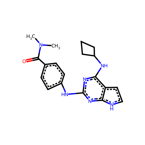 CN(C)C(=O)c1ccc(Nc2nc(NC3CCC3)c3cc[nH]c3n2)cc1